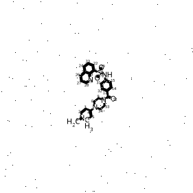 C=N/C=C\C(=C/C)N1CCN(C(=O)c2ccc(NS(=O)(=O)c3cccc4cccnc34)cc2)CC1